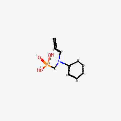 C=CCN(CP(=O)(O)O)C1CCCCC1